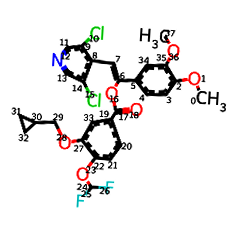 COc1ccc(C(=Cc2c(Cl)cncc2Cl)OC(=O)c2ccc(OC(F)F)c(OCC3CC3)c2)cc1OC